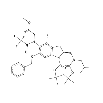 COC(=O)CN(C(=O)C(F)(F)F)c1c(OCc2ccccc2)cc2c(c1F)C[C@@H](CN(CC(C)C)C(=O)OC(C)(C)C)N2C(=O)OC(C)(C)C